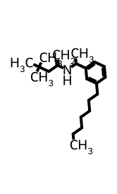 C=C(CC(C)(C)C)NC(C)c1cccc(CCCCCCC)c1